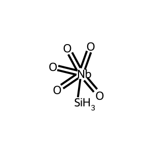 [O]=[Nb](=[O])(=[O])(=[O])(=[O])[SiH3]